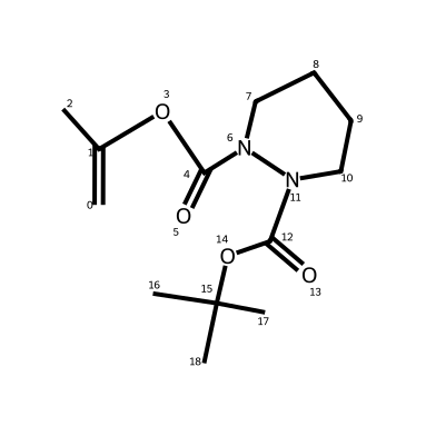 C=C(C)OC(=O)N1CCCCN1C(=O)OC(C)(C)C